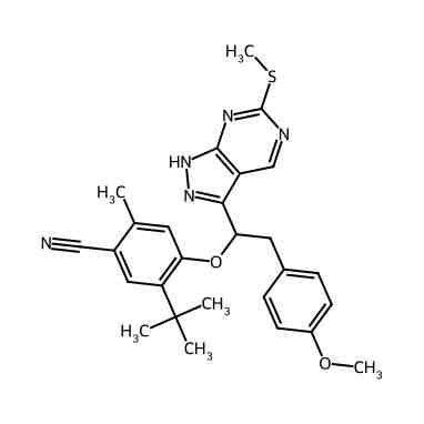 COc1ccc(CC(Oc2cc(C)c(C#N)cc2C(C)(C)C)c2n[nH]c3nc(SC)ncc23)cc1